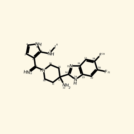 N=C(c1cc[nH]c1NI)N1CCC(N)(c2nc3cc(F)c(F)cc3[nH]2)CC1